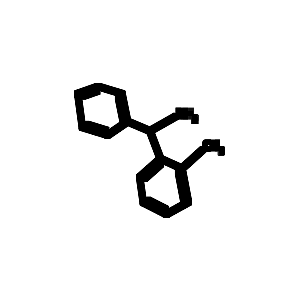 Cc1ccccc1C(N)c1ccccc1